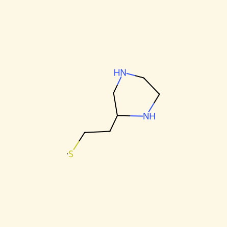 [S]CCC1CNCCN1